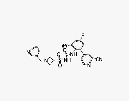 CC(C)c1cc(F)cc(-c2ccnc(C#N)c2)c1NC(=O)NS(=O)(=O)C1CN(Cc2cccnc2)C1